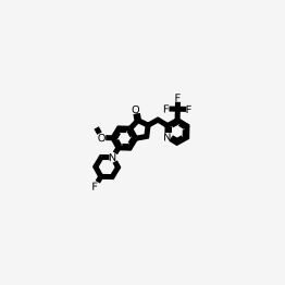 COc1cc2c(cc1N1CCC(F)CC1)CC(Cc1ncccc1C(F)(F)F)C2=O